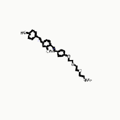 CNCCOCCOCCOc1ccc(/C=C/c2ccc(/C=C/c3ccc(O)cc3)cc2OC)cc1